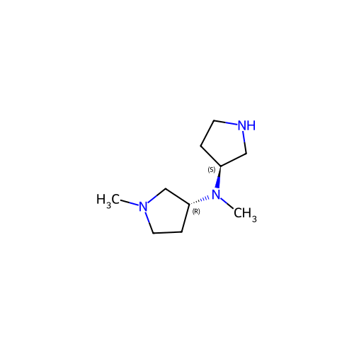 CN1CC[C@@H](N(C)[C@H]2CCNC2)C1